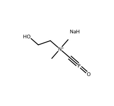 C[N+](C)(C#P=O)CCO.[NaH]